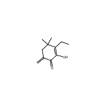 C=C1CC(C)(C)C(CC)=C(O)C1=O